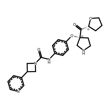 O=C(Nc1ccc(O[C@]2(C(=O)[C@H]3CCCO3)CCNC2)cc1)N1CC(c2cccnc2)C1